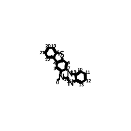 Cn1c2cc3c(cc2n2c4ccccc4nc12)sc1ccccc13